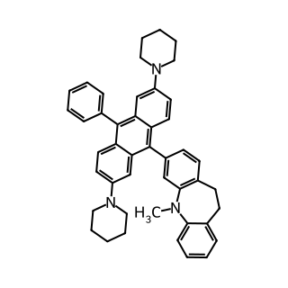 CN1c2ccccc2CCc2ccc(-c3c4ccc(N5CCCCC5)cc4c(-c4ccccc4)c4ccc(N5CCCCC5)cc34)cc21